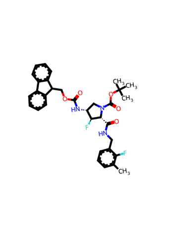 Cc1cccc(CNC(=O)[C@@H]2[C@@H](F)[C@H](NC(=O)OCC3c4ccccc4-c4ccccc43)CN2C(=O)OC(C)(C)C)c1F